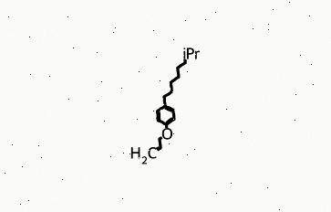 C=CCOc1ccc(CCCCCCC(C)C)cc1